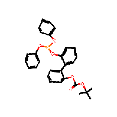 CC(C)(C)OC(=O)Oc1ccccc1-c1ccccc1OP(Oc1ccccc1)Oc1ccccc1